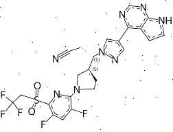 N#CC[C@@H]([C@H]1CCN(c2nc(S(=O)(=O)CC(F)(F)F)c(F)cc2F)C1)n1cc(-c2ncnc3[nH]ccc23)cn1